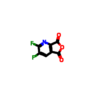 O=C1OC(=O)c2nc(F)c(F)cc21